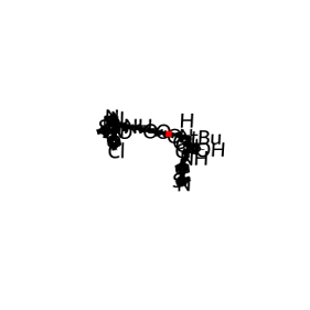 Cc1ncsc1-c1ccc(CNC(=O)[C@@H]2C[C@@H](O)CN2C(=O)[C@@H](NC(=O)COCCOCCOCCCCNC(=O)C[C@@H]2N=C(c3ccc(Cl)cc3)c3c(sc(C)c3C)-n3c(C)nnc32)C(C)(C)C)cc1